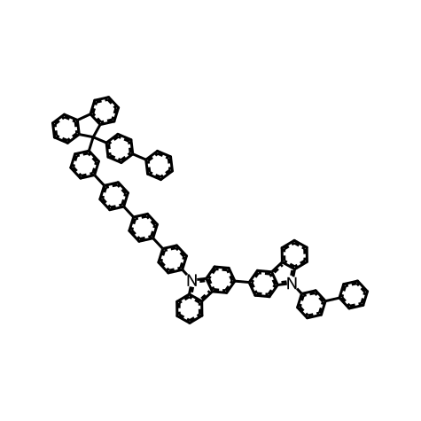 c1ccc(-c2ccc(C3(c4cccc(-c5ccc(-c6ccc(-c7ccc(-n8c9ccccc9c9cc(-c%10ccc%11c(c%10)c%10ccccc%10n%11-c%10cccc(-c%11ccccc%11)c%10)ccc98)cc7)cc6)cc5)c4)c4ccccc4-c4ccccc43)cc2)cc1